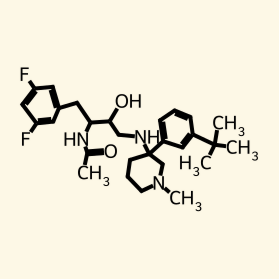 CC(=O)NC(Cc1cc(F)cc(F)c1)C(O)CNC1(c2cccc(C(C)(C)C)c2)CCCN(C)C1